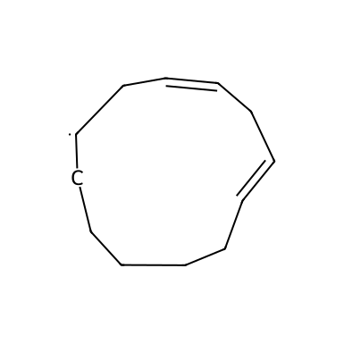 [CH]1C/C=C\C/C=C/CCCCC1